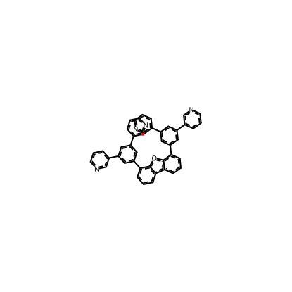 c1cncc(-c2cc(-c3cccnc3)cc(-c3cccc4c3oc3c(-c5cc(-c6cccnc6)cc(-c6cccnc6)c5)cccc34)c2)c1